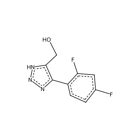 OCc1[nH]nnc1-c1ccc(F)cc1F